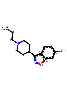 CC(=O)OCCN1CCC(c2noc3cc(F)ccc23)CC1